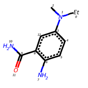 CCN(C)c1ccc(N)c(C(N)=O)c1